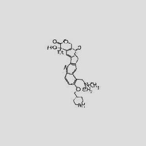 CC[C@@]1(O)C(=O)OCc2c1cc1n(c2=O)Cc2cc3c(CN(C)C)c(OCC4CCNCC4)ccc3nc2-1